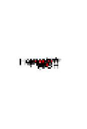 CCCCCCCCCCCCCCCCCCCCO.O=C(O)CSSCC(=O)O